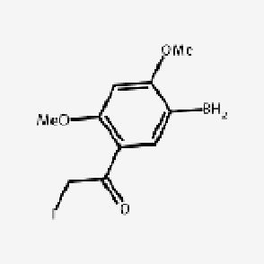 Bc1cc(C(=O)CI)c(OC)cc1OC